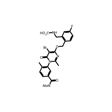 CNC(=O)c1ccc(C)c(-n2c(C)nc(OCc3ccc(F)cc3CNC(=O)O)c(Br)c2=O)c1